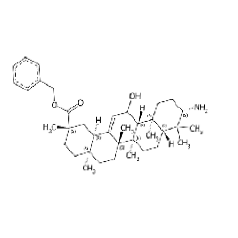 CC1(C)[C@@H](N)CC[C@]2(C)[C@H]3C(O)C=C4[C@@H]5C[C@@](C)(C(=O)OCc6ccccc6)CC[C@]5(C)CC[C@@]4(C)[C@]3(C)CC[C@@H]12